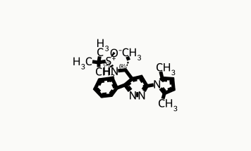 CC[C@@H](N[S@+]([O-])C(C)(C)C)c1cc(-n2c(C)ccc2C)nnc1-c1ccccc1